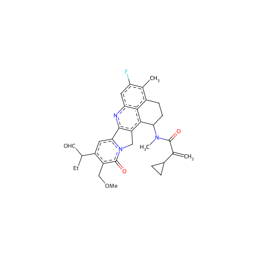 C=C(C(=O)N(C)C1CCc2c(C)c(F)cc3nc4c(c1c23)Cn1c-4cc(C(C=O)CC)c(COC)c1=O)C1CC1